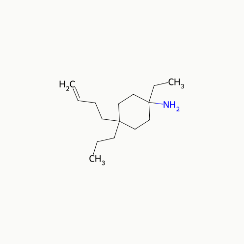 C=CCCC1(CCC)CCC(N)(CC)CC1